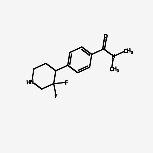 CN(C)C(=O)c1ccc(C2CCNCC2(F)F)cc1